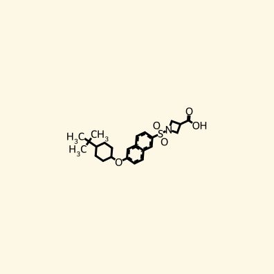 CC(C)(C)C1CCC(Oc2ccc3cc(S(=O)(=O)N4CC(C(=O)O)C4)ccc3c2)CC1